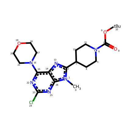 Cn1c(C2CCN(C(=O)OC(C)(C)C)CC2)nc2c(N3CCOCC3)nc(Cl)nc21